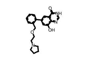 O=c1[nH]cnc2c(O)cc(-c3ccccc3COCCN3CCCC3)cc12